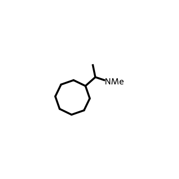 CNC(C)C1CCCCCCC1